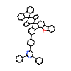 c1ccc(-c2cc(-c3ccc(-c4ccc5c(c4)-c4c(ccc6c4oc4ccccc46)C54c5ccccc5C5(c6ccccc6-c6ccccc65)c5ccccc54)cc3)nc(-c3ccccc3)n2)cc1